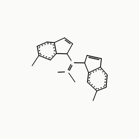 Cc1ccc2c(c1)[CH]([Zr]([CH]1C=Cc3ccc(C)cc31)=[Si](C)C)C=C2